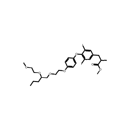 CCCC(COCCOc1ccc(Oc2c(I)cc(CC(C)C(=O)OC)cc2I)cc1)OCCOC